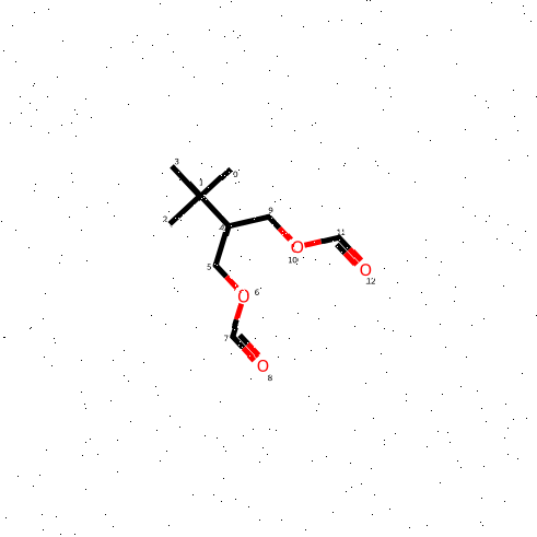 CC(C)(C)C(COC=O)COC=O